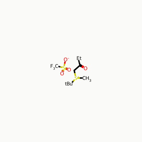 CCC(=O)C[S+](C)C(C)(C)C.O=S(=O)([O-])C(F)(F)F